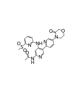 CC(=O)Nc1cc(Nc2cccc(S(C)(=O)=O)n2)c(-c2ccc(N3CCOCC3=O)cn2)cn1